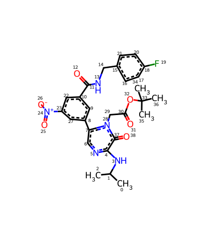 CC(C)Nc1ncc(-c2cc(C(=O)NCc3ccc(F)cc3)cc([N+](=O)[O-])c2)n(CC(=O)OC(C)(C)C)c1=O